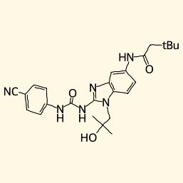 CC(C)(C)CC(=O)Nc1ccc2c(c1)nc(NC(=O)Nc1ccc(C#N)cc1)n2CC(C)(C)O